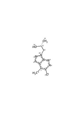 Cc1c(Cl)nnc2c1cnn2C[C@@H](C)O